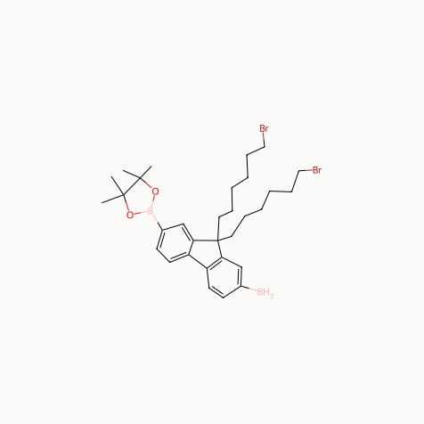 Bc1ccc2c(c1)C(CCCCCCBr)(CCCCCCBr)c1cc(B3OC(C)(C)C(C)(C)O3)ccc1-2